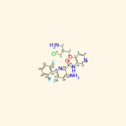 NCC(CCl)COc1ccncc1NC(=O)c1nc(-c2c(F)cccc2F)c(F)cc1N